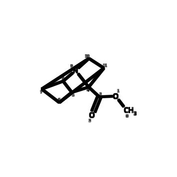 COC(=O)C12C3C4C5C3N1C5C42